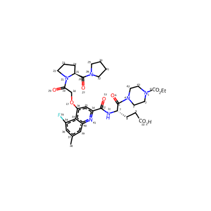 CCOC(=O)N1CCN(C(=O)[C@H](CCC(=O)O)NC(=O)c2cc(OCC(=O)N3CCC[C@H]3C(=O)N3CCCC3)c3c(F)cc(C)cc3n2)CC1